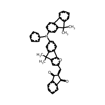 CC1(C)c2ccccc2-c2ccc(N(c3ccccc3)c3ccc4c(c3)C(C)(C)c3cc(C=C5C(=O)c6ccccc6C5=O)oc3-4)cc21